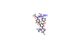 CCOC(=N)c1ccc(Oc2cc(Oc3ccc(C(=N)OCC)cc3)cc(C(=O)N(CC(C)C)CC(C)C)c2)cc1